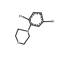 CCc1ccc(C(C)C)cc1N1CCOCC1